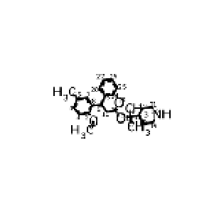 COc1ccc(C)cc1C(CC(=O)OC(C)(C)C1CCNCC1)c1ccccc1